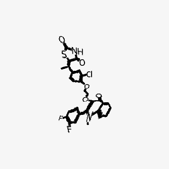 C/C(=C1\SC(=O)NC1=O)c1ccc(OCCOc2c(-c3ccc(F)c(F)c3)n(C)c3ccccc3c2=O)c(Cl)c1